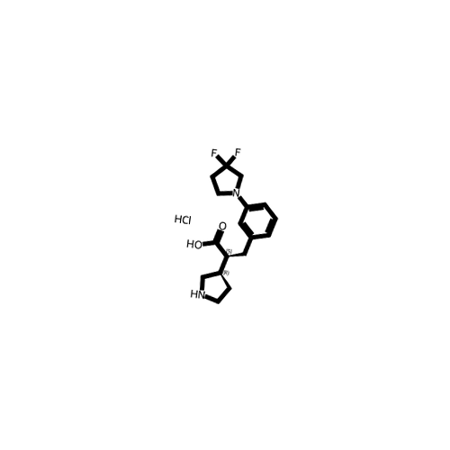 Cl.O=C(O)[C@@H](Cc1cccc(N2CCC(F)(F)C2)c1)[C@H]1CCNC1